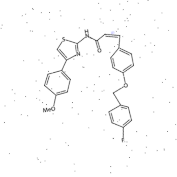 COc1ccc(-c2csc(NC(=O)/C=C\c3ccc(OCc4ccc(F)cc4)cc3)n2)cc1